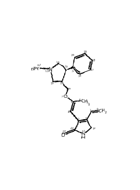 C=CC1=C(/C=C(\C)OC[C@H]2CN(CCC)C[C@H]2c2ccccc2)C(=O)NC1